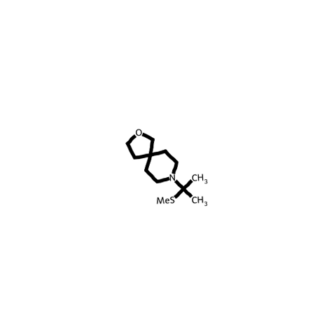 CSC(C)(C)N1CCC2(CCOC2)CC1